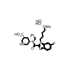 COCCCCn1c(C(=O)N(CC(C)C)[C@@H]2CNC[C@H](C(=O)O)C2)nc2ccc(F)cc21.Cl.Cl